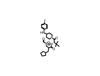 CC(C)(C)[C@H](NC(=O)C(CC1CCCC1)CN(O)C=O)C(=O)N1CCC(Nc2ccc(F)cc2)CC1